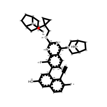 C#Cc1c(F)ccc2cc(O)cc(-c3c(F)cc4c(N5CC6CCC(C5)N6)nc(OCC5(CN6C7CCC6CC(F)C7)CC5)nc4c3F)c12